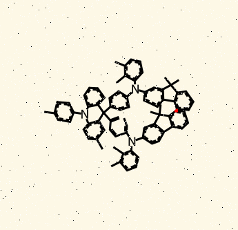 C=C(/C=C\C(=C/C)N(c1ccc2c(c1)C(C)(C)c1ccccc1-2)c1cccc(C)c1C)C1(c2ccc(N(c3ccc4c(c3)C(C)(C)c3ccccc3-4)c3cccc(C)c3C)cc2)c2ccccc2N(c2ccc(C)cc2)c2ccc(C)cc21